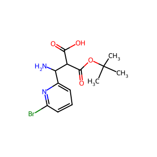 CC(C)(C)OC(=O)C(C(=O)O)C(N)c1cccc(Br)n1